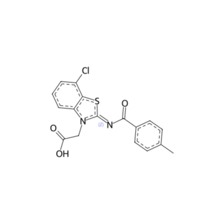 Cc1ccc(C(=O)/N=c2\sc3c(Cl)cccc3n2CC(=O)O)cc1